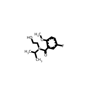 COc1ccc(F)cc1C(=O)N(CCO)C(C)C